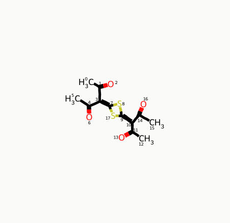 CC(=O)C(C(C)=O)=c1sc(=C(C(C)=O)C(C)=O)s1